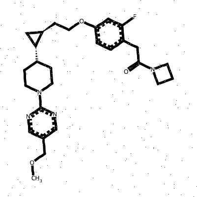 COCc1cnc(N2CCC([C@@H]3C[C@H]3CCOc3ccc(CC(=O)N4CCC4)c(F)c3)CC2)nc1